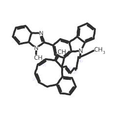 C=C1/C=C\C=C/Cc2ccccc2C12/C=C/C=C\C=C(/C)n1c3ccccc3c3cc(C4=NC5C=CC=CC5N4C)cc2c31